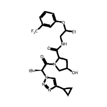 CCC(CNC(=O)C1CC(O)CN1C(=O)[C@@H](n1cc(C2CC2)nn1)C(C)(C)C)Oc1cccc(C(F)(F)F)c1